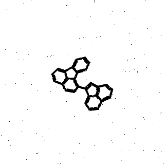 C1=C(c2ccc3cccc4c3c2-c2ccccc2-4)c2cccc3cccc1c23